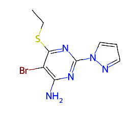 CCSc1nc(-n2cccn2)nc(N)c1Br